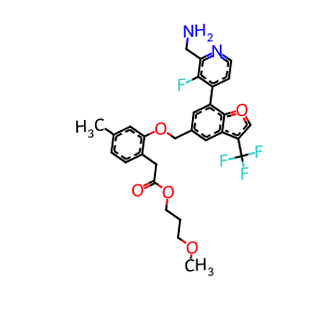 COCCCOC(=O)Cc1ccc(C)cc1OCc1cc(-c2ccnc(CN)c2F)c2occ(C(F)(F)F)c2c1